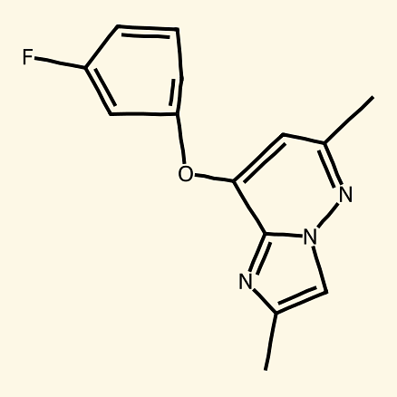 Cc1cn2nc(C)cc(Oc3cccc(F)c3)c2n1